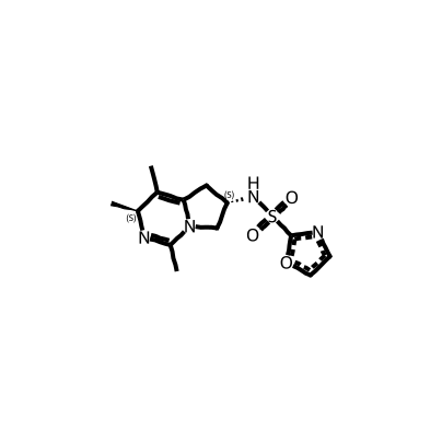 CC1=N[C@@H](C)C(C)=C2C[C@H](NS(=O)(=O)c3ncco3)CN12